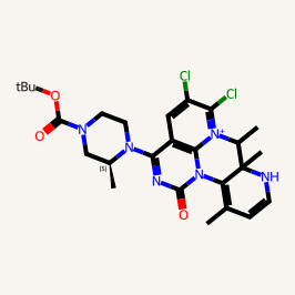 CC1=C2n3c(=O)nc(N4CCN(C(=O)OC(C)(C)C)C[C@@H]4C)c4cc(Cl)c(Cl)[n+](c43)C(C)C2(C)NC=C1